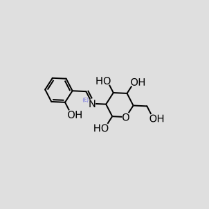 OCC1OC(O)C(/N=C/c2ccccc2O)C(O)C1O